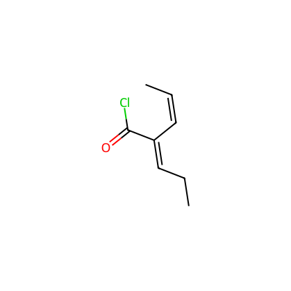 C/C=C\C(=C/CC)C(=O)Cl